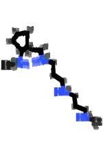 CCNCCCNCCCNC[C@@H]1CCCC1NCC